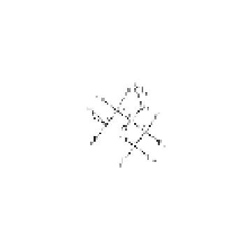 COP(=O)(C(F)(F)C(F)(F)F)C(F)(F)C(F)(F)F